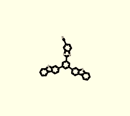 N#Cc1ccc2nc(-c3cc(-c4ccc5c(c4)sc4ccccc45)cc(-c4ccc5c(c4)sc4ccccc45)c3)sc2c1